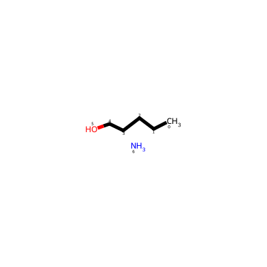 CC[CH]CCO.N